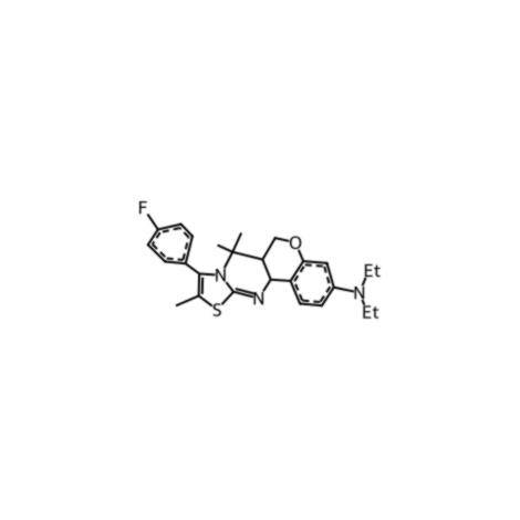 CCN(CC)c1ccc2c(c1)OCC1C2N=C2SC(C)=C(c3ccc(F)cc3)N2C1(C)C